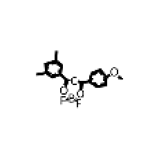 COc1ccc(C(=O)CC(=O)c2cc(C)cc(C)c2)cc1.F[B]F